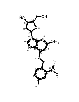 Nc1nc(OCc2ccc(I)cc2[N+](=O)[O-])c2ncn([C@H]3CC(O)[C@@H](CO)O3)c2n1